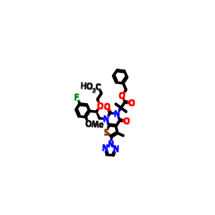 COc1ccc(F)cc1[C@H](Cn1c(=O)n(C(C)(C)C(=O)OCc2ccccc2)c(=O)c2c(C)c(-n3nccn3)sc21)OCCC(=O)O